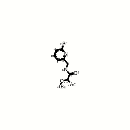 CC(=O)C(OC(C)(C)C)C(=O)[N]Cc1cccc(Br)n1